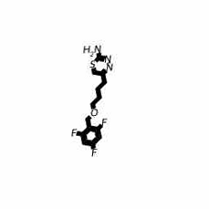 NC1=NN=C(CCCCOCc2c(F)cc(F)cc2F)CS1